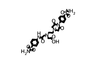 NS(=O)(=O)c1ccc(NC(=O)CN(CCN2CC(=O)N(c3ccc(S(N)(=O)=O)cc3)C(=O)C2)CC(=O)O)cc1